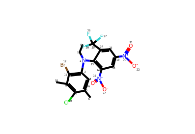 CCN(c1cc(C)c(Cl)c(C)c1Br)c1c([N+](=O)[O-])cc([N+](=O)[O-])cc1C(F)(F)F